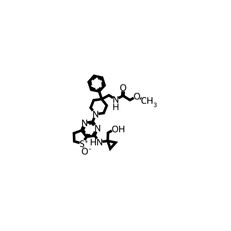 COCC(=O)NCC1(c2ccccc2)CCN(c2nc3c(c(NC4(CO)CC4)n2)[S+]([O-])CC3)CC1